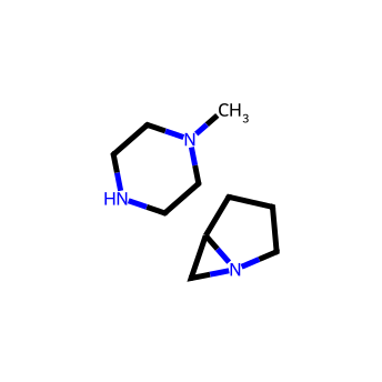 C1CC2CN2C1.CN1CCNCC1